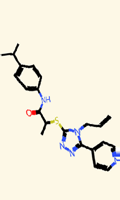 C=CCn1c(SC(C)C(=O)Nc2ccc(C(C)C)cc2)nnc1-c1ccncc1